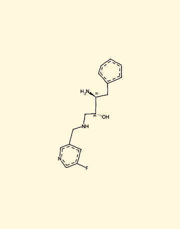 N[C@@H](Cc1ccccc1)[C@H](O)CNCc1cncc(F)c1